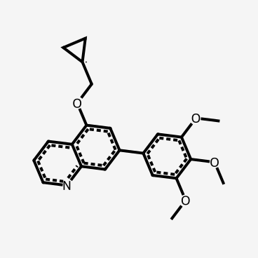 COc1cc(-c2cc(OC[C]3CC3)c3cccnc3c2)cc(OC)c1OC